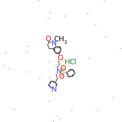 CN1C(=O)CCc2cc(OCCCN(CCc3cccnc3)S(=O)(=O)c3ccccc3)ccc21.Cl